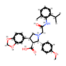 COc1ccc([C@@H]2[C@@H](C(=O)O)[C@@H](c3ccc4c(c3)OCO4)CN2CC(=O)Nc2c(C)cccc2C(C)C)cc1